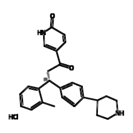 Cc1ccccc1[C@H](CC(=O)c1ccc(=O)[nH]c1)c1ccc(C2CCNCC2)cc1.Cl